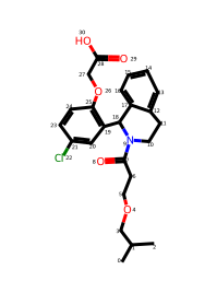 CC(C)COCCC(=O)N1CCc2ccccc2C1c1cc(Cl)ccc1OCC(=O)O